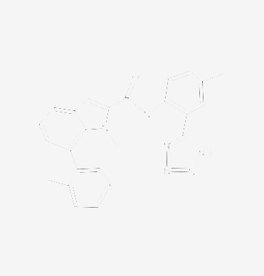 Cn1c(C(=O)Nc2ccc(Cl)cc2-c2nnn[nH]2)cc2cccc(-c3ccccc3C(F)(F)F)c21